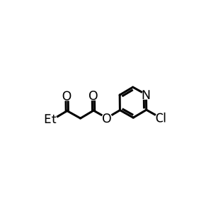 CCC(=O)CC(=O)Oc1ccnc(Cl)c1